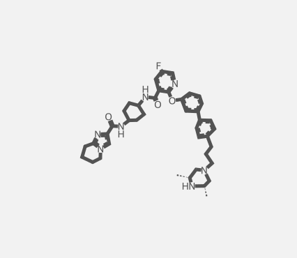 C[C@@H]1CN(CCCc2ccc(-c3cccc(Oc4ncc(F)cc4C(=O)NC4CCC(NC(=O)c5cn6c(n5)CCCC6)CC4)c3)cc2)C[C@H](C)N1